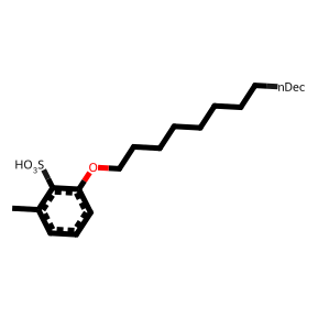 CCCCCCCCCCCCCCCCCCOc1cccc(C)c1S(=O)(=O)O